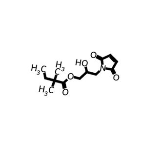 CCC(C)(C)C(=O)OCC(O)CN1C(=O)C=CC1=O